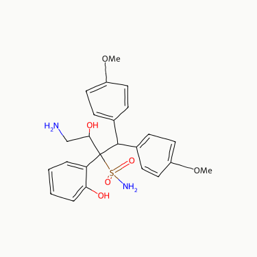 COc1ccc(C(c2ccc(OC)cc2)C(c2ccccc2O)(C(O)CN)S(N)(=O)=O)cc1